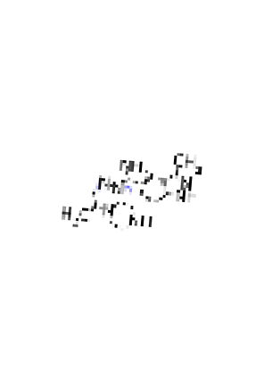 C=C(/C=N\N=C(/N)c1ccc2[nH]nc(C)c2c1)N1CCNCC1